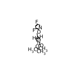 CC(C)(C)OC(=O)N1C[C@@H]2C(COc3ncc(F)cc3F)[C@@H]2C1